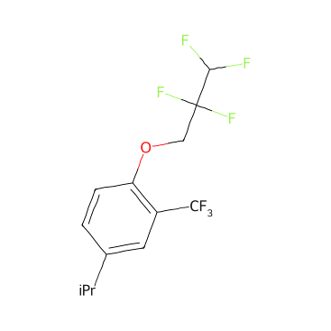 CC(C)c1ccc(OCC(F)(F)C(F)F)c(C(F)(F)F)c1